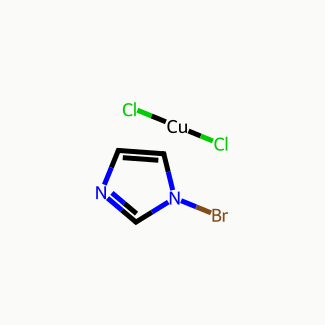 Brn1ccnc1.[Cl][Cu][Cl]